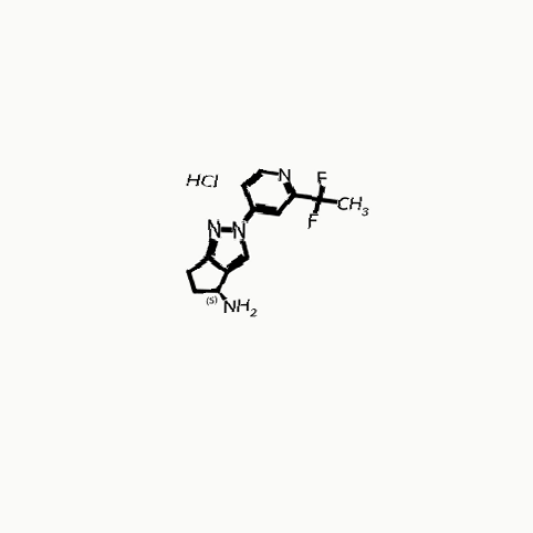 CC(F)(F)c1cc(-n2cc3c(n2)CC[C@@H]3N)ccn1.Cl